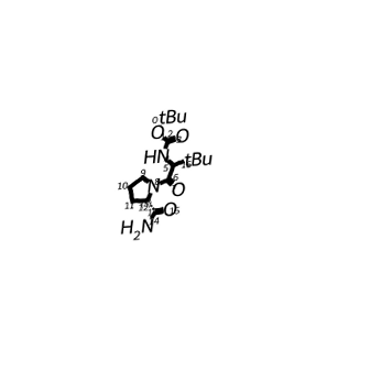 CC(C)(C)OC(=O)NC(C(=O)N1CCC[C@H]1C(N)=O)C(C)(C)C